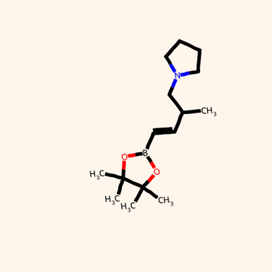 CC(C=CB1OC(C)(C)C(C)(C)O1)CN1CCCC1